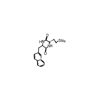 CSCC[C@H]1NC(=O)C(Cc2ccc3ccccc3c2)NC1=O